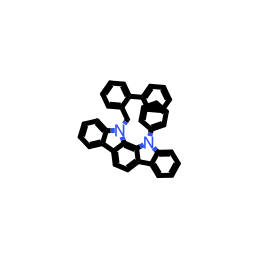 c1ccc(-c2ccccc2Cn2c3ccccc3c3ccc4c5ccccc5n(-c5ccccc5)c4c32)cc1